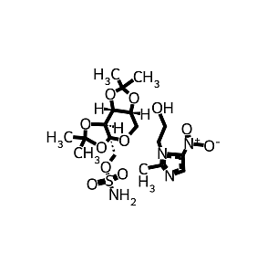 CC1(C)O[C@@H]2[C@@H](CO[C@@]3(COS(N)(=O)=O)OC(C)(C)O[C@@H]23)O1.Cc1ncc([N+](=O)[O-])n1CCO